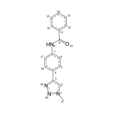 Cn1cc(-c2ccc(NC(=O)c3ccccc3)cc2)nn1